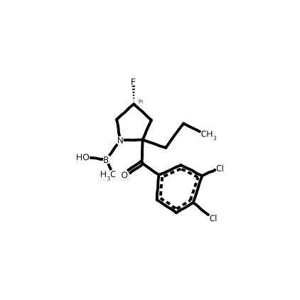 CCCC1(C(=O)c2ccc(Cl)c(Cl)c2)C[C@@H](F)CN1B(C)O